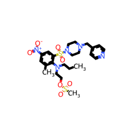 CCCN(CCOS(C)(=O)=O)c1c(C)cc([N+](=O)[O-])cc1S(=O)(=O)N1CCN(Cc2ccncc2)CC1